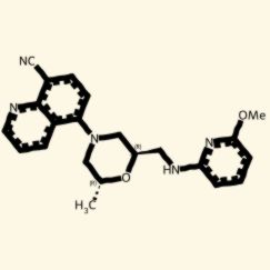 COc1cccc(NC[C@@H]2CN(c3ccc(C#N)c4ncccc34)C[C@@H](C)O2)n1